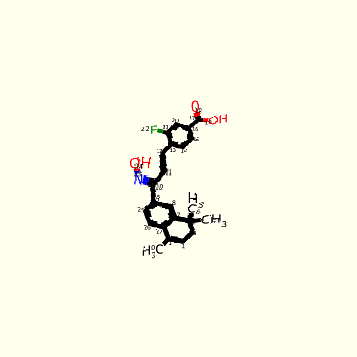 CC1=CCC(C)(C)c2cc(C(C=Cc3ccc(C(=O)O)cc3F)=NO)ccc21